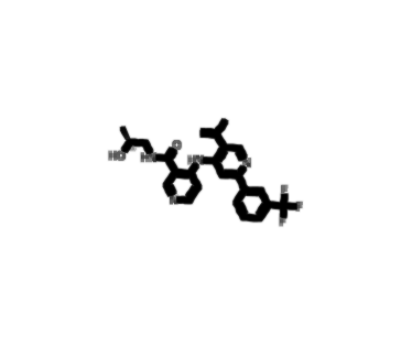 C=C(C)c1cnc(-c2cccc(C(F)(F)F)c2)cc1Nc1ccncc1C(=O)NC[C@H](C)O